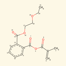 C=C(C)C(=O)OC(=O)c1ccccc1C(=O)OCCOCC